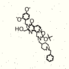 COc1ccc(Cn2c(CO)nc3c(CN(CC4CCN(Cc5ccccc5)CC4)C(=O)OC(C)(C)C)nccc3c2=O)c(OC)c1